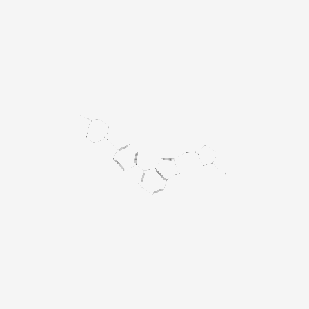 CN1CCN(c2ccc(-c3nccc4[nH]c(CN5CCC(O)C5)cc34)cc2)CC1